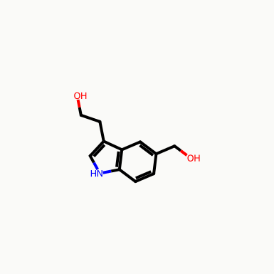 OCCc1c[nH]c2ccc(CO)cc12